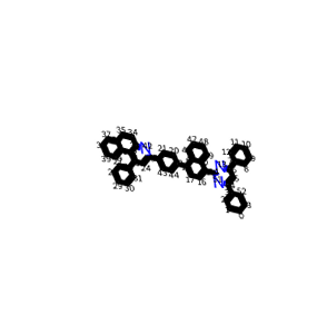 c1ccc(-c2cc(-c3ccccc3)nc(-c3ccc(-c4ccc(-c5cc(-c6ccccc6)c6c(ccc7ccccc76)n5)cc4)c4ccccc34)n2)cc1